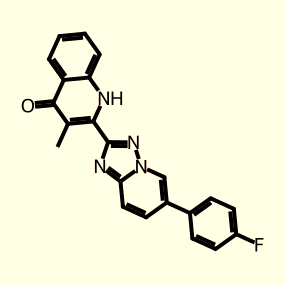 Cc1c(-c2nc3ccc(-c4ccc(F)cc4)cn3n2)[nH]c2ccccc2c1=O